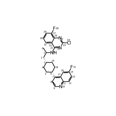 CC(C[C@H]1CC[C@@H](c2ccnc3ccc(F)cc32)CC1)Nc1nc(Cl)nc2c(F)cccc12